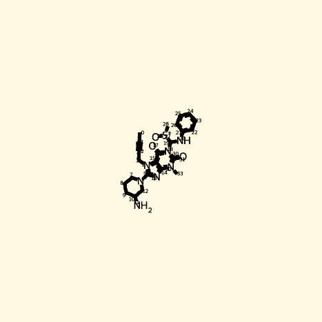 CC#CCn1c(N2CCCC(N)C2)nc2c1c(=O)n(C(Nc1ccccc1)[S+](C)[O-])c(=O)n2C